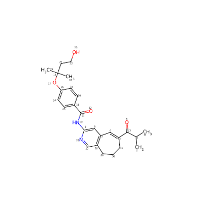 CC(C)C(=O)C1=Cc2cc(NC(=O)c3ccc(OC(C)(C)CCO)cc3)ncc2CCC1